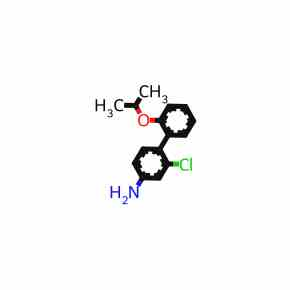 CC(C)Oc1ccccc1-c1ccc(N)cc1Cl